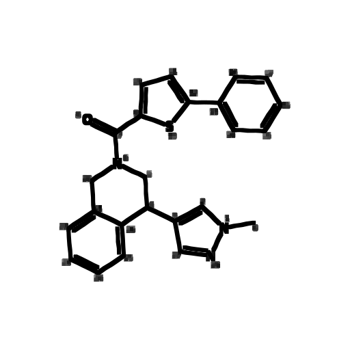 Cn1cc(C2CN(C(=O)c3ccc(-c4ccccc4)s3)Cc3ccccc32)cn1